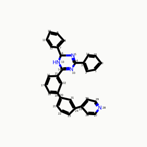 c1ccc(C2=NC(c3ccccc3)NC(c3cccc(-c4cccc(-c5ccncc5)c4)c3)=N2)cc1